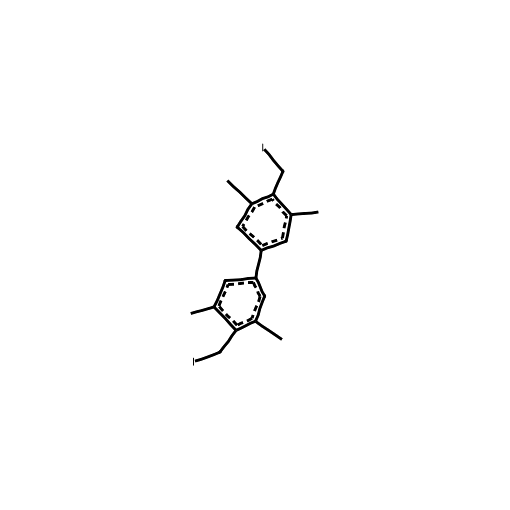 Cc1cc(-c2cc(C)c(CI)c(C)c2)cc(C)c1CI